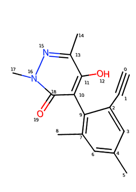 C#Cc1cc(C)cc(C)c1-c1c(O)c(C)nn(C)c1=O